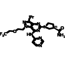 CC(C)c1nn(CCOCC(F)(F)F)c2c(Nc3ccncn3)nc(N3CC[C@@H](C(N)=O)C3)nc12